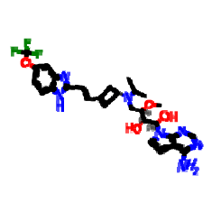 CO[C@H](CN(C(C)C)[C@H]1C[C@H](CCc2nc3cc(OC(F)(F)F)ccc3[nH]2)C1)[C@@H](O)[C@@H](O)n1ccc2c(N)ncnc21